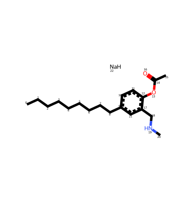 CCCCCCCCCc1ccc(OC(C)=O)c(CNC)c1.[NaH]